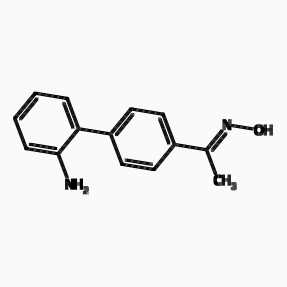 CC(=NO)c1ccc(-c2ccccc2N)cc1